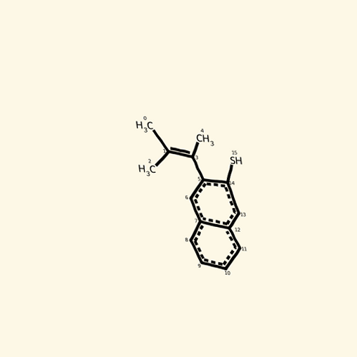 CC(C)=C(C)c1cc2ccccc2cc1S